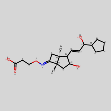 O=C(O)CCON=C1C[C@H]2C(C=CC(O)C3CCCC3)C(O)C[C@H]12